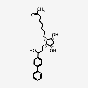 CC(=O)CCCCCC[C@@H]1[C@@H](CCC(O)c2ccc(-c3ccccc3)cc2)[C@H](O)C[C@@H]1O